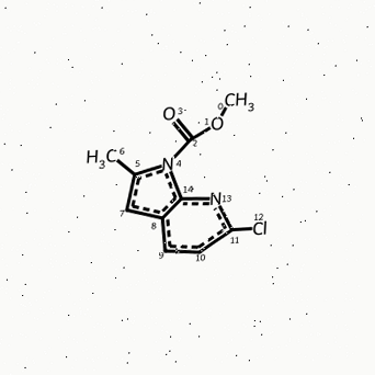 COC(=O)n1c(C)cc2ccc(Cl)nc21